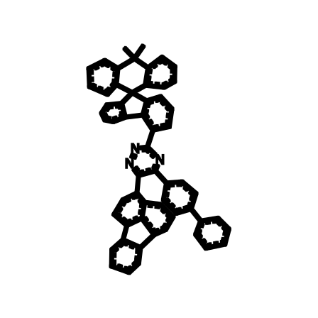 CC1(C)c2ccccc2C2(c3ccccc3-c3c(-c4nnc(-c5ccc6c7c(cccc57)-c5ccccc5-6)c(-c5ccc(-c6ccccc6)cc5)n4)cccc32)c2ccccc21